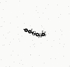 Cc1ccc(-c2ccc(C3COC(C4CCC(C(F)(F)Oc5cc(F)c(F)c(F)c5)CC4)OC3)c(F)c2)cc1